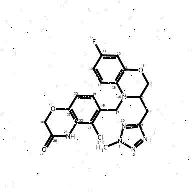 Cn1nnc(CC2COc3cc(F)ccc3N2Cc2ccc3c(c2Cl)NC(=O)CO3)n1